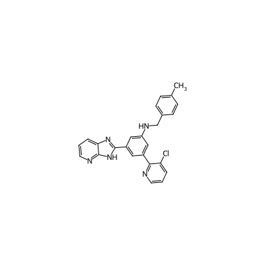 Cc1ccc(CNc2cc(-c3nc4cccnc4[nH]3)cc(-c3ncccc3Cl)c2)cc1